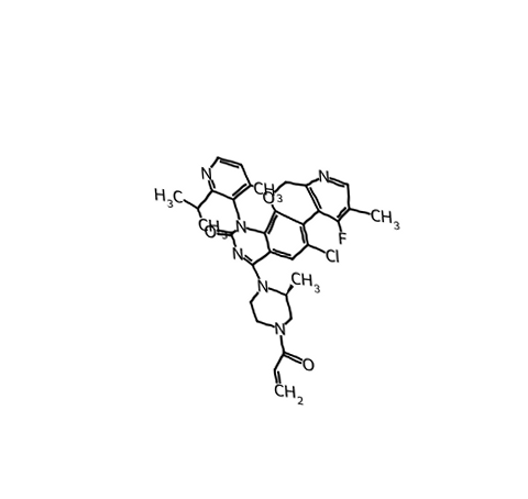 C=CC(=O)N1CCN(c2nc(=O)n(-c3c(C)ccnc3C(C)C)c3c4c(c(Cl)cc23)-c2c(ncc(C)c2F)CO4)[C@@H](C)C1